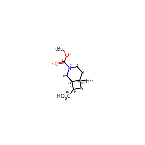 CC(C)(C)OC(=O)N1CC[C@@H]2CC(C(=O)O)C2C1